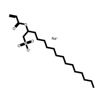 C=CC(=O)OC(CCCCCCCCCCCCCC)CS(=O)(=O)[O-].[Na+]